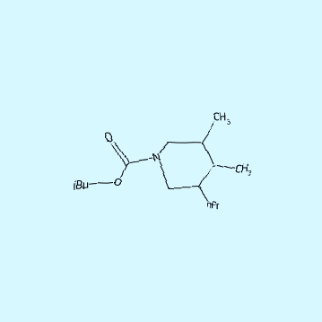 CCCC1CN(C(=O)OC(C)CC)CC(C)C1C